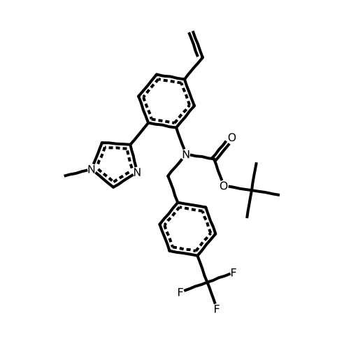 C=Cc1ccc(-c2cn(C)cn2)c(N(Cc2ccc(C(F)(F)F)cc2)C(=O)OC(C)(C)C)c1